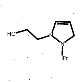 CC(C)N1CC=CN1CCO